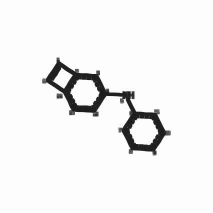 C1=Cc2cc(Nc3ccccc3)ccc21